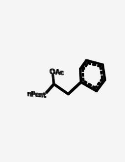 CCCCCC(Cc1ccccc1)OC(C)=O